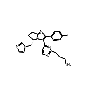 NCCCc1nccc(-c2c(-c3ccc(F)cc3)nc3n2[C@H](Cn2ccnc2)CC3)n1